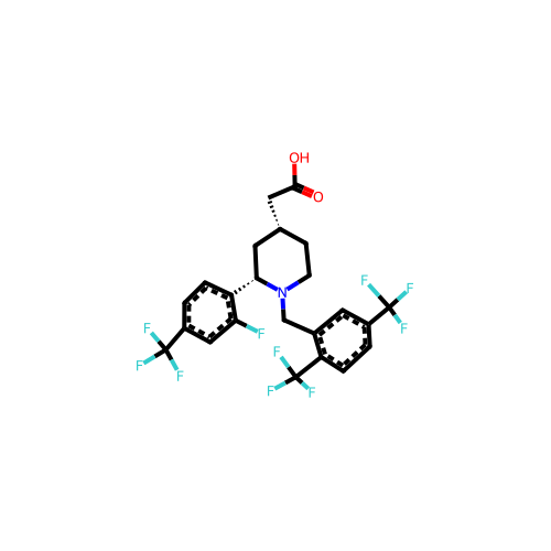 O=C(O)C[C@@H]1CCN(Cc2cc(C(F)(F)F)ccc2C(F)(F)F)[C@H](c2ccc(C(F)(F)F)cc2F)C1